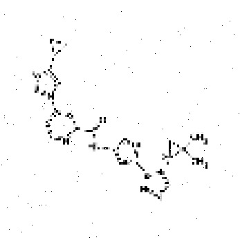 CC1(C)C[C@H]1n1cnnc1-c1cc(NC(=O)c2cc(-n3cnc(C4CC4)c3)ccn2)cs1